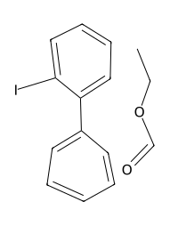 CCOC=O.Ic1ccccc1-c1ccccc1